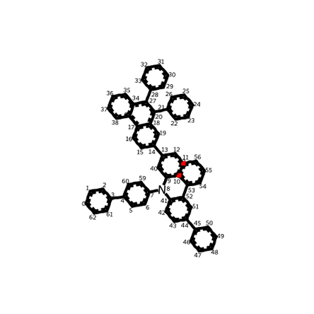 c1ccc(-c2ccc(N(c3cccc(-c4ccc5c(c4)c(-c4ccccc4)c(-c4ccccc4)c4ccccc45)c3)c3ccc(-c4ccccc4)cc3-c3ccccc3)cc2)cc1